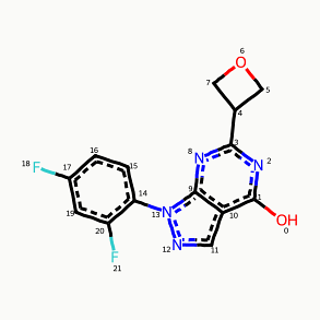 Oc1nc(C2COC2)nc2c1cnn2-c1ccc(F)cc1F